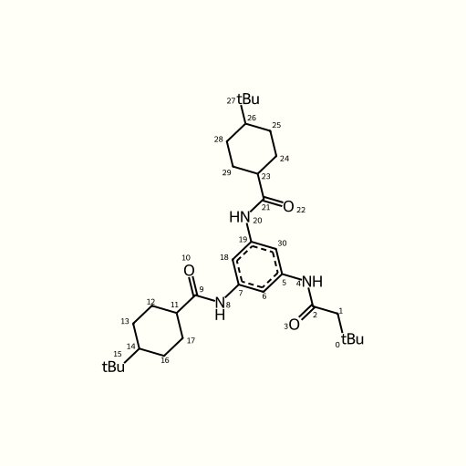 CC(C)(C)CC(=O)Nc1cc(NC(=O)C2CCC(C(C)(C)C)CC2)cc(NC(=O)C2CCC(C(C)(C)C)CC2)c1